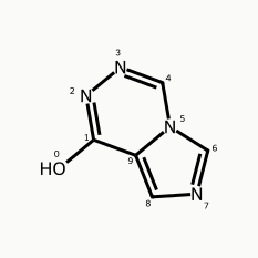 Oc1nncn2cncc12